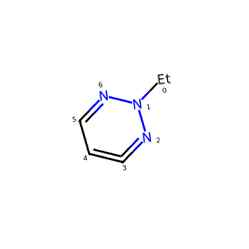 CCN1N=C=CC=N1